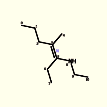 CCC/C(C)=C(\CC)NCC